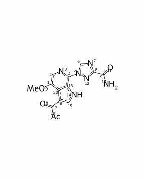 COc1cnc(-n2cnc(C(N)=O)n2)c2[nH]cc(C(=O)C(C)=O)c12